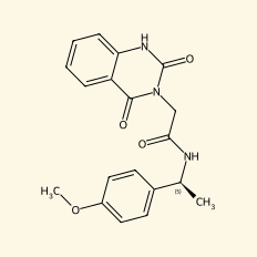 COc1ccc([C@H](C)NC(=O)Cn2c(=O)[nH]c3ccccc3c2=O)cc1